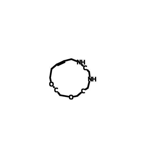 C1=C/CNCCNCCCOCCOCC/1